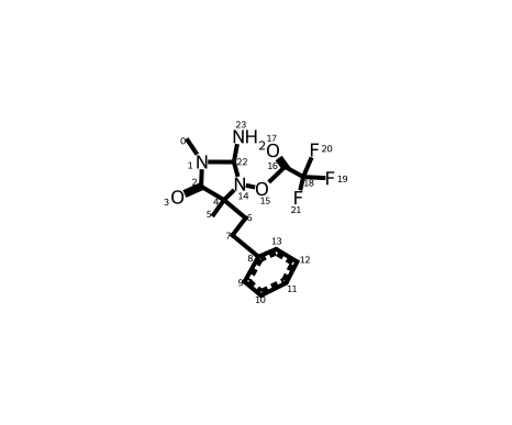 CN1C(=O)C(C)(CCc2ccccc2)N(OC(=O)C(F)(F)F)C1N